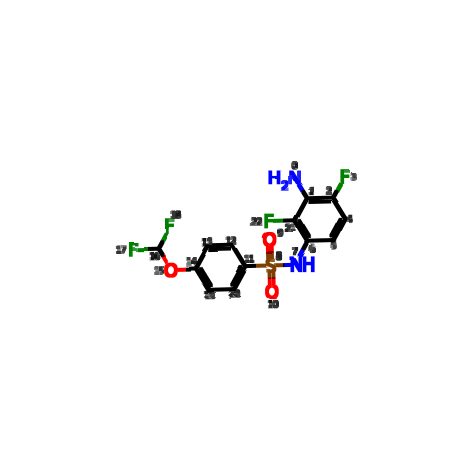 Nc1c(F)ccc(NS(=O)(=O)c2ccc(OC(F)F)cc2)c1F